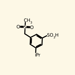 CC(C)c1cc(CS(C)(=O)=O)cc(S(=O)(=O)O)c1